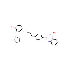 COc1ccc(NC/C=C/c2ccc(C(=O)Nc3ccccc3NC(=O)O)cc2)cc1OC1CCCC1